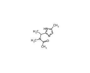 CC(=O)N(C)C(C)c1ncc(C)[nH]1